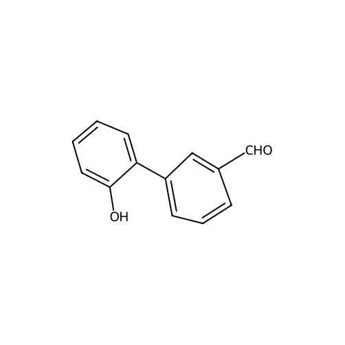 O=Cc1cccc(-c2ccccc2O)c1